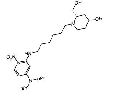 CCCN(CCC)c1ccc([N+](=O)[O-])c(NCCCCCCN2CC[C@@H](O)C[C@H]2CO)c1